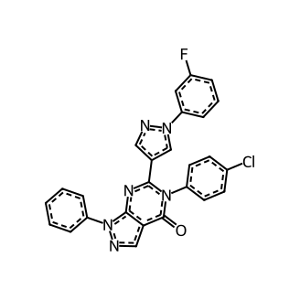 O=c1c2cnn(-c3ccccc3)c2nc(-c2cnn(-c3cccc(F)c3)c2)n1-c1ccc(Cl)cc1